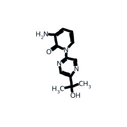 CC(C)(O)c1cnc(-n2cccc(N)c2=O)cn1